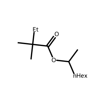 CCCCCCC(C)OC(=O)C(C)(C)CC